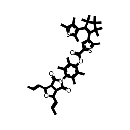 C/C=C/C1OC(/C=C/C)C2C(=O)N(c3c(C)c(C)c(OC(=O)c4cc(C5=C(c6c(C)sc(C)c6C)C(C)(C)C(C)(C)C5(C)C)c(C)s4)c(C)c3C)C(=O)C12